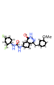 COc1cccc(Cc2n[nH]c(=O)c3cc(NC(=O)Nc4ccc(F)cc4F)ccc23)c1